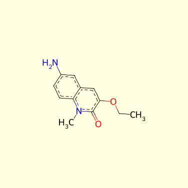 CCOc1cc2cc(N)ccc2n(C)c1=O